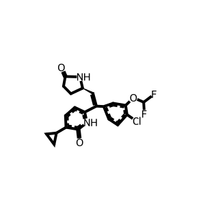 O=C1CC[C@H](/C=C(/c2ccc(Cl)c(OC(F)F)c2)c2ccc(C3CC3)c(=O)[nH]2)N1